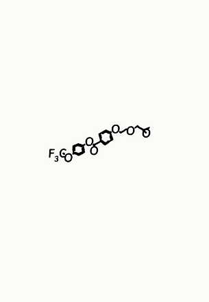 O=C(Oc1ccc(OC(F)(F)F)cc1)c1ccc(OCCOCC2CO2)cc1